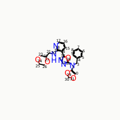 C1=C(N(Cc2ccccc2)c2nnc(-c3cccnc3NCC3COCCO3)o2)OCO1